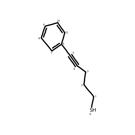 SCCCC#Cc1ccccc1